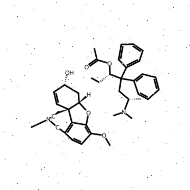 CC[C@H](OC(C)=O)C(C[C@H](C)N(C)C)(c1ccccc1)c1ccccc1.COc1ccc2c3c1O[C@H]1C[C@@H](O)C=C[C@@]31CCN(C)C2